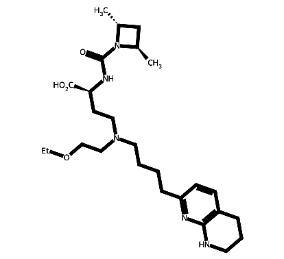 CCOCCN(CCCCc1ccc2c(n1)NCCC2)CC[C@H](NC(=O)N1[C@H](C)C[C@H]1C)C(=O)O